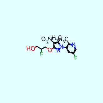 Cc1ncc(F)cc1-n1nc(OC[C@@H](F)CO)c([N+](=O)[O-])c1C